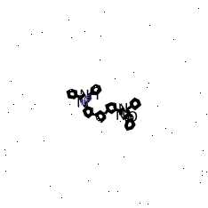 N=C(/N=C(\C=C\c1ccccc1)c1cccc(-c2cccc(-c3cccc(-c4nc(-c5ccccc5)c5oc6ccccc6c5n4)c3)c2)c1)c1ccccc1